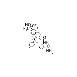 NC(=O)[C@@H]1CCC[C@@H]1NC(=O)C[C@@H]1CCc2cc(C(O)(C(F)(F)F)C(F)(F)F)ccc2N1S(=O)(=O)c1ccc(F)cc1